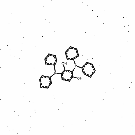 Oc1ccc(P(c2ccccc2)c2ccccc2)c(O)c1P(c1ccccc1)c1ccccc1